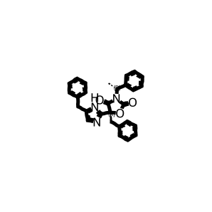 C[C@H](c1ccccc1)N1C(=O)O[C@](Cc2ccccc2)(c2ncc(Cc3ccccc3)[nH]2)C1=O